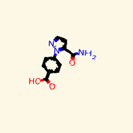 NC(=O)c1ccnn1-c1ccc(C(=O)O)cc1